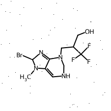 CN1C2=CNCN(CC(CO)C(F)(F)F)C2=NC1Br